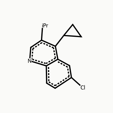 CC(C)c1cnc2ccc(Cl)cc2c1C1CC1